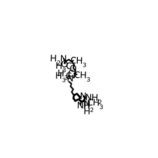 CNc1c(N)nc2cc(CCCCCN(C)CC(C)(C)COCC(C)(C)CC(N)=O)ccc2c1N